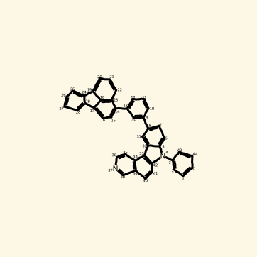 c1ccc(-n2c3ccc(-c4cccc(-c5ccc6c7c(cccc57)-c5ccccc5-6)c4)cc3c3c4ccncc4ccc32)cc1